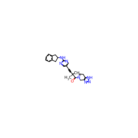 CC(C)(C#Cc1cnc(NC2Cc3ccccc3C2)nc1)C(=O)N1CCc2[nH]nnc2C1